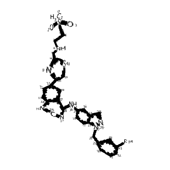 CS(=O)(=O)CCNCc1nc(-c2ccc3ncnc(Nc4ccc5c(cnn5Cc5cccc(F)c5)c4)c3c2)cs1